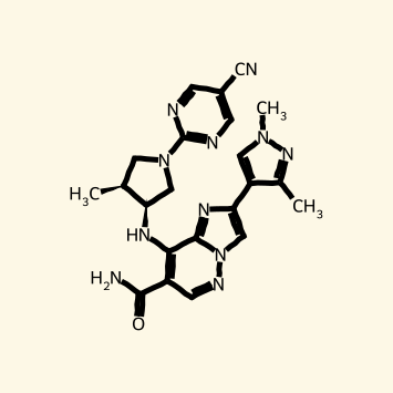 Cc1nn(C)cc1-c1cn2ncc(C(N)=O)c(N[C@@H]3CN(c4ncc(C#N)cn4)C[C@@H]3C)c2n1